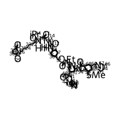 CCN(C(=O)OCc1ccc(NC(=O)[C@H](C)NC(=O)[C@@H](NC(=O)CCCCCN2C(=O)C=CC2=O)C(C)C)cc1)c1cc(C2(Cc3nncn3C)COC2)cc(N2Cc3c(SC)cc(CN4CCC[C@H](C)C4)cc3C2=O)n1